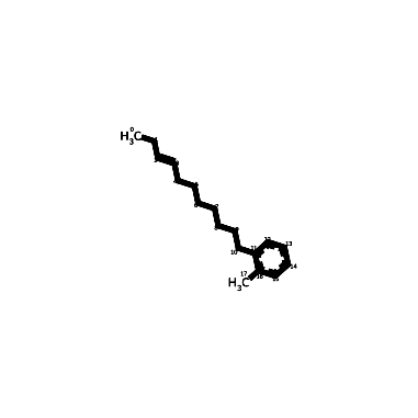 CCC=CCCCCCCCc1ccccc1C